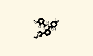 CCn1cc(-c2cccc(C(NC(=O)c3cccc(OC)c3Cl)C3(O)CCC(F)(F)CC3)c2)cn1